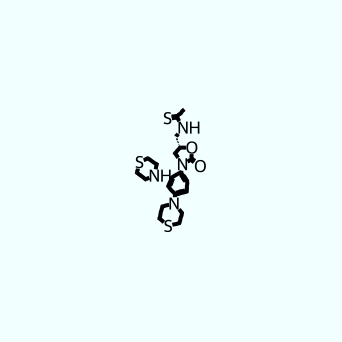 C1CSCCN1.CC(=S)NC[C@H]1CN(c2ccc(N3CCSCC3)cc2)C(=O)O1